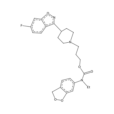 CCN(C(=O)OCCCN1CCC(c2noc3cc(F)ccc23)CC1)c1ccc2c(c1)OOC2